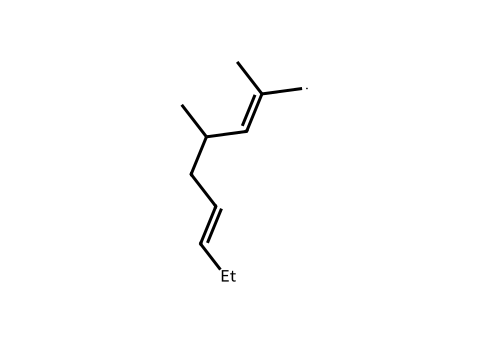 [CH2]CC=CCC(C)C=C([CH2])C